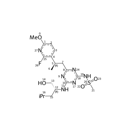 COc1ccc([C@H](C)Cc2nc(N[C@@H](CO)CC(C)C)nc(NS(C)(=O)=O)n2)c(F)n1